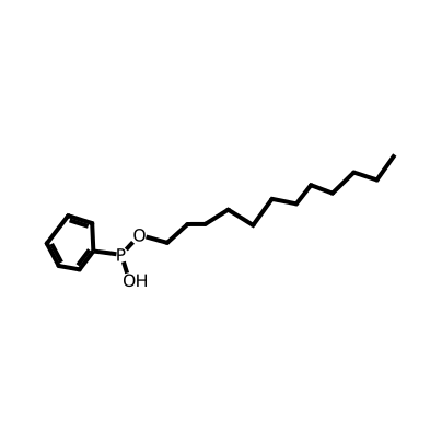 CCCCCCCCCCCCOP(O)c1ccccc1